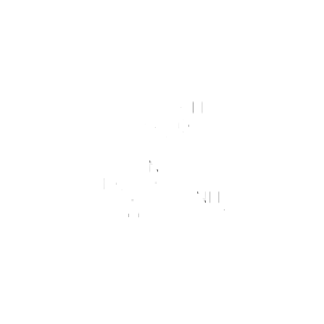 COC(=O)c1cc(N)cc(C(C)=O)n1